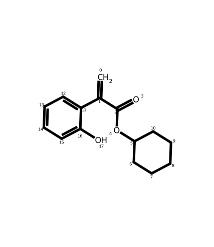 C=C(C(=O)OC1CCCCC1)c1ccccc1O